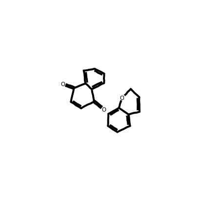 C1=Cc2ccccc2OC1.O=C1C=CC(=O)c2ccccc21